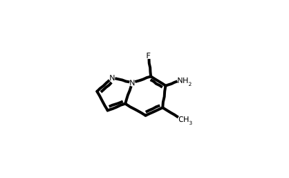 Cc1cc2ccnn2c(F)c1N